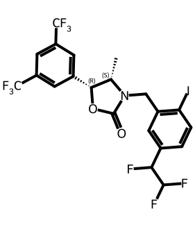 C[C@H]1[C@@H](c2cc(C(F)(F)F)cc(C(F)(F)F)c2)OC(=O)N1Cc1cc(C(F)C(F)F)ccc1I